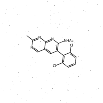 CC(=O)Nc1nc2nc(C)ncc2cc1-c1c(Cl)cccc1Cl